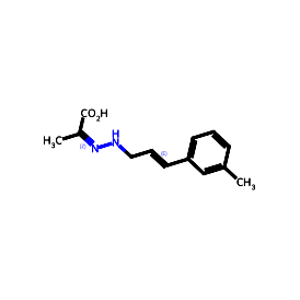 C/C(=N/NC/C=C/c1cccc(C)c1)C(=O)O